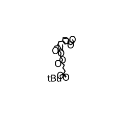 CC(Cc1ccc2c(c1)OCO2)N(C)C(=O)OCOC(=O)CCCC(=O)OC(C)(C)C